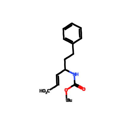 CC(C)(C)OC(=O)NC(C=CC(=O)O)CCc1ccccc1